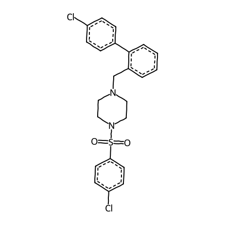 O=S(=O)(c1ccc(Cl)cc1)N1CCN(Cc2ccccc2-c2ccc(Cl)cc2)CC1